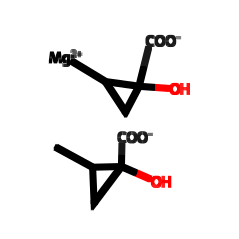 CC1CC1(O)C(=O)[O-].CC1CC1(O)C(=O)[O-].[Mg+2]